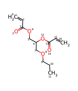 C=CC(=O)OCC(COCCC)OC(=O)C=C